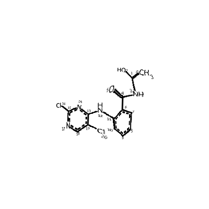 CC(O)NC(=O)c1ccccc1Nc1nc(Cl)ncc1Cl